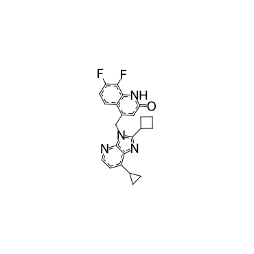 O=c1cc(Cn2c(C3CCC3)nc3c(C4CC4)ccnc32)c2ccc(F)c(F)c2[nH]1